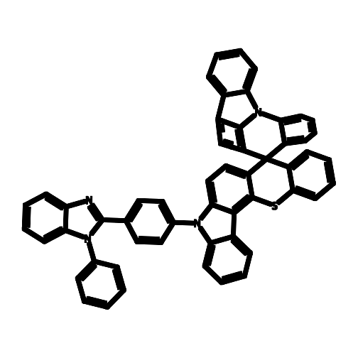 c1ccc(-n2c(-c3ccc(-n4c5ccccc5c5c6c(ccc54)C4(c5ccccc5S6)c5ccccc5-n5c6ccccc6c6cccc4c65)cc3)nc3ccccc32)cc1